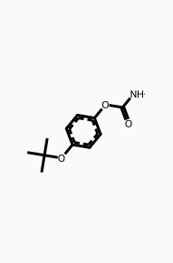 CC(C)(C)Oc1ccc(OC([NH])=O)cc1